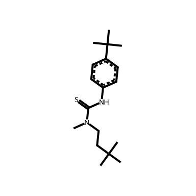 CN(CCC(C)(C)C)C(=S)Nc1ccc(C(C)(C)C)cc1